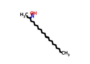 CCCCCCCCC=CCCCCCCCCC(CC)=NO